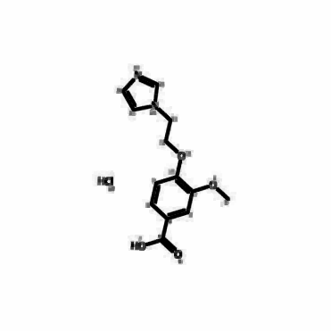 COc1cc(C(=O)O)ccc1OCCn1ccnc1.Cl